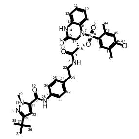 Cc1cc(S(=O)(=O)N2c3ccccc3NC(=O)[C@H]2CC(=O)NCCc2ccc(NC(=O)c3cc(C(C)(C)C)nn3C)cc2)c(C)cc1Cl